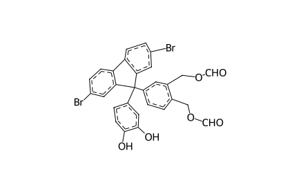 O=COCc1ccc(C2(c3ccc(O)c(O)c3)c3cc(Br)ccc3-c3ccc(Br)cc32)cc1COC=O